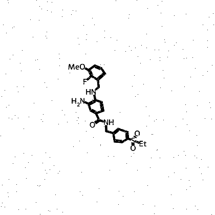 CCS(=O)(=O)c1ccc(CNC(=O)c2ccc(NCc3cccc(OC)c3F)c(N)c2)cc1